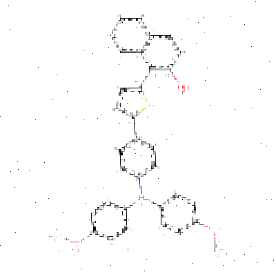 COc1ccc(N(c2ccc(OC)cc2)c2ccc(-c3ccc(-c4c(O)ccc5ccccc45)s3)cc2)cc1